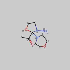 CC(=O)C1(N2CCOCC2)OCCN1N